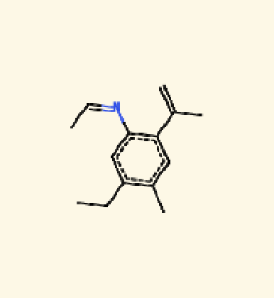 C=C(C)c1cc(C)c(CC)cc1/N=C\C